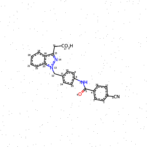 N#Cc1ccc(C(=O)Nc2ccc(Cn3nc(CC(=O)O)c4ccccc43)cc2)cc1